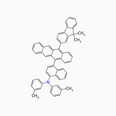 Cc1cccc(N(c2cccc(C)c2)c2ccc(-c3c4ccccc4c(-c4ccc5c(c4)C(C)(C)c4ccccc4-5)c4cc5ccccc5cc34)c3ccccc23)c1